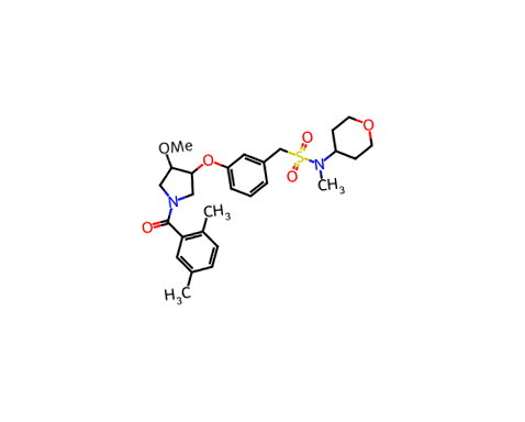 COC1CN(C(=O)c2cc(C)ccc2C)CC1Oc1cccc(CS(=O)(=O)N(C)C2CCOCC2)c1